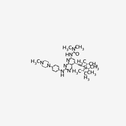 CC(C)[Si](C#Cc1cc(NC(=O)N(C)C)nc2nc(Nc3ccc(N4CCN(C)CC4)cc3)ncc12)(C(C)C)C(C)C